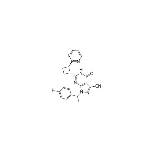 CC(c1ccc(F)cc1)n1nc(C#N)c2c(=O)[nH]c([C@@H]3CC[C@H]3c3ncccn3)nc21